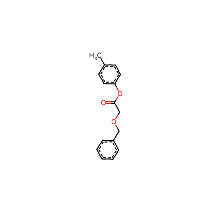 Cc1ccc(OC(=O)COCc2ccccc2)cc1